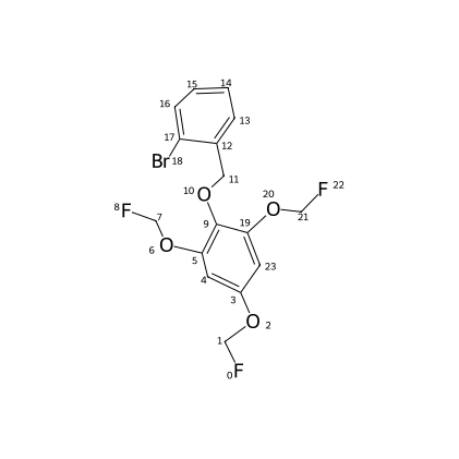 FCOc1cc(OCF)c(OCc2ccccc2Br)c(OCF)c1